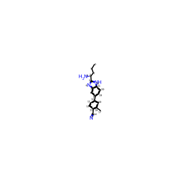 CCC[C@H](N)c1nc2cc(-c3ccc(C#N)c(C)c3)ccc2[nH]1